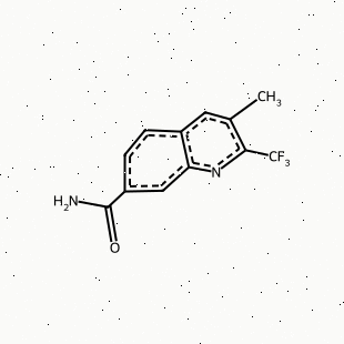 Cc1cc2ccc(C(N)=O)cc2nc1C(F)(F)F